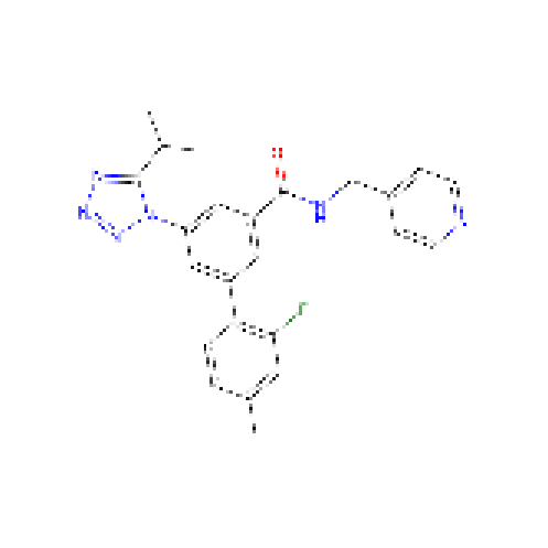 Cc1ccc(-c2cc(C(=O)NCc3ccncc3)cc(-n3nnnc3C(C)C)c2)c(F)c1